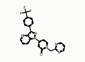 O=c1cc(-n2nc(-c3ccc(C(F)(F)F)cc3)c3ncccc32)ccn1Cc1ncccn1